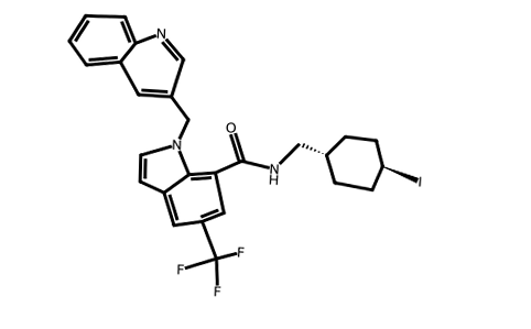 O=C(NC[C@H]1CC[C@H](I)CC1)c1cc(C(F)(F)F)cc2ccn(Cc3cnc4ccccc4c3)c12